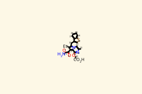 CCc1c(C(=O)C(N)=O)c2c(OCC(=O)O)nc(C)cn2c1Cc1csc2ccccc12